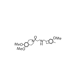 COc1cc2c(cc1C)CC2CNCCC(=O)N1CCc2cc(OC)c(OC)cc2CC1